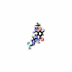 C/C(=N/[S@+]([O-])C(C)(C)C)c1cc(C)cc2c(=O)n(C)c(C3(C)CN(CC(F)F)C3)nc12